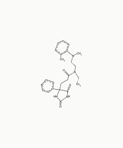 CCN(CCN(C)c1ccccc1C)C(=O)CCC1(c2ccccc2)NC(=O)NC1=O